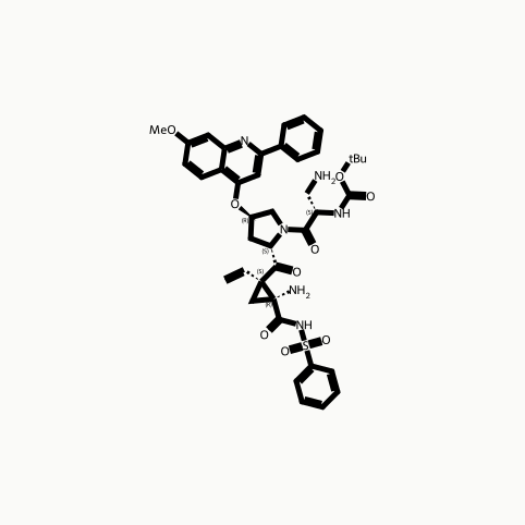 C=C[C@@]1(C(=O)[C@@H]2C[C@@H](Oc3cc(-c4ccccc4)nc4cc(OC)ccc34)CN2C(=O)[C@H](CN)NC(=O)OC(C)(C)C)C[C@]1(N)C(=O)NS(=O)(=O)c1ccccc1